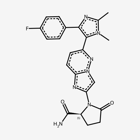 Cc1nc(-c2ccc(F)cc2)c(-c2ccc3nc(N4C(=O)CC[C@H]4C(N)=O)cn3n2)n1C